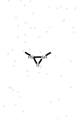 C[SiH]1O[SiH]1C